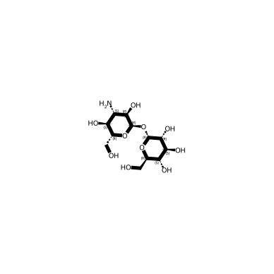 N[C@@H]1[C@@H](O)[C@@H](O[C@H]2O[C@H](CO)[C@@H](O)[C@H](O)[C@H]2O)O[C@H](CO)[C@H]1O